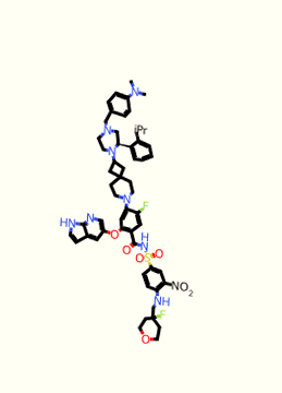 CC(C)c1ccccc1[C@@H]1CN(Cc2ccc(N(C)C)cc2)CCN1C1CC2(CCN(c3cc(Oc4cnc5[nH]ccc5c4)c(C(=O)NS(=O)(=O)c4ccc(NCC5(F)CCOCC5)c([N+](=O)[O-])c4)cc3F)CC2)C1